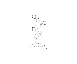 CC(C)(C)C1(C(C)(C)C)c2cc3cc(N(c4ccccc4)c4ccc(-c5ccccc5)cc4)ccc3cc2-c2c1c1ccc(N(c3ccccc3)c3ccc(-c4ccccc4)cc3)cc1c1ccccc21